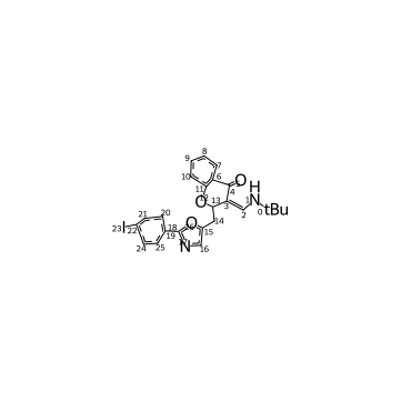 CC(C)(C)N/C=C1\C(=O)c2ccccc2OC1Cc1cnc(-c2ccc(I)cc2)o1